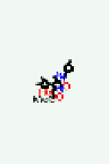 COC(=O)C(O)c1c(-c2ccc(C)c(C)c2)c2cnn(Cc3ccc(C)cc3)c2c(=O)n1C